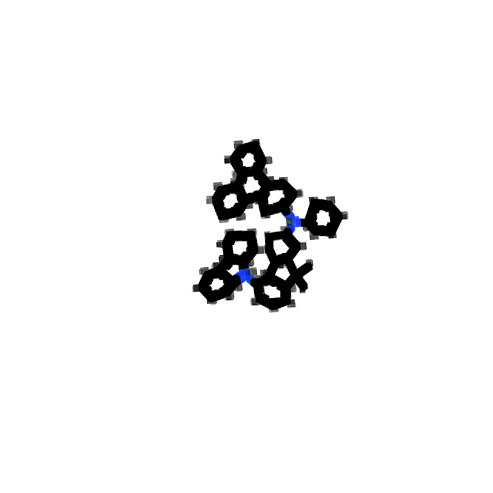 CC1(C)C2=C(CCC(N(c3ccccc3)c3ccc4c5ccccc5c5ccccc5c4c3)=C2)c2c(-n3c4ccccc4c4ccccc43)cccc21